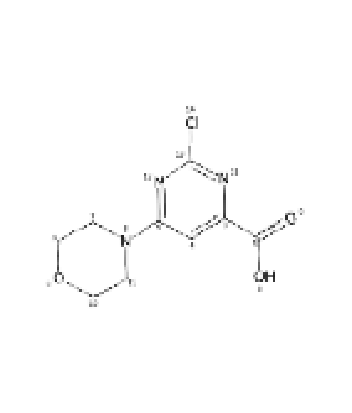 O=C(O)c1cc(N2CCOCC2)nc(Cl)n1